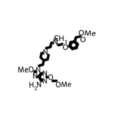 COCCOc1nc(N)c2nc(OC)n(CCC3CCN(CCCN(C)CCOc4cccc(CC(=O)OC)c4)CC3)c2n1